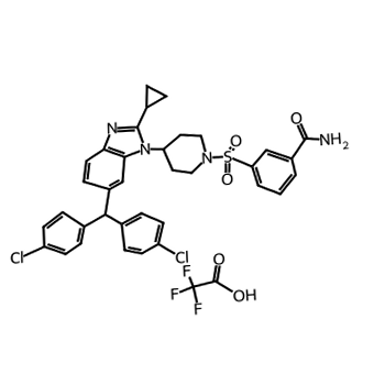 NC(=O)c1cccc(S(=O)(=O)N2CCC(n3c(C4CC4)nc4ccc(C(c5ccc(Cl)cc5)c5ccc(Cl)cc5)cc43)CC2)c1.O=C(O)C(F)(F)F